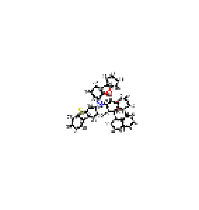 c1ccc(-c2cccc3cccc(-c4cccc(N(c5ccc6c(c5)sc5ccccc56)c5cccc6c5oc5ccccc56)c4)c23)cc1